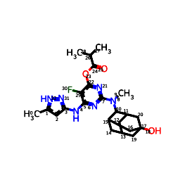 Cc1cc(Nc2nc(N(C)C3C4CC5CC3CC(O)(C5)C4)nc(OC(=O)C(C)C)c2F)n[nH]1